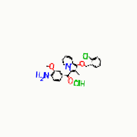 COc1cc(C(=O)c2c(C)c(OCc3ccccc3Cl)c3ccccn23)ccc1N.Cl